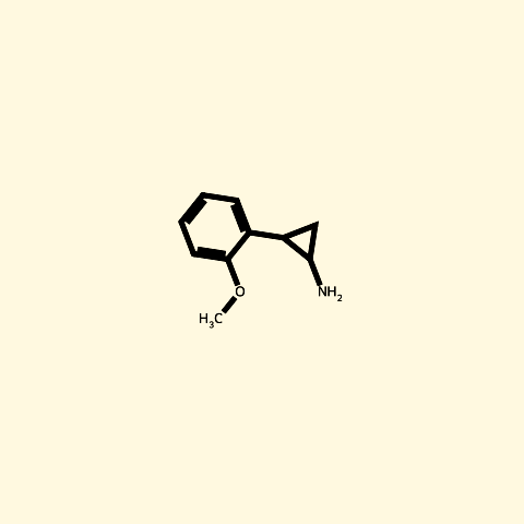 COc1ccccc1C1CC1N